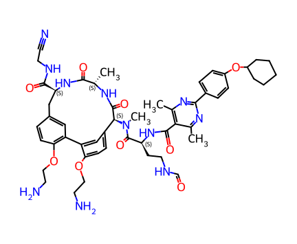 Cc1nc(-c2ccc(OC3CCCCC3)cc2)nc(C)c1C(=O)N[C@@H](CCNC=O)C(=O)N(C)[C@@H]1C(=O)N[C@@H](C)C(=O)N[C@H](C(=O)NCC#N)Cc2ccc(OCCN)c(c2)-c2cc1ccc2OCCN